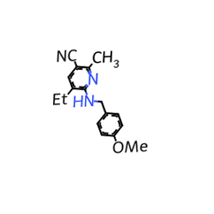 CCc1cc(C#N)c(C)nc1NCc1ccc(OC)cc1